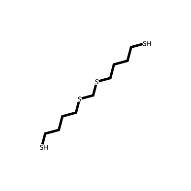 SCCCCSCSCCCCS